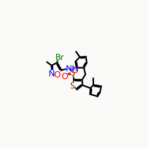 Cc1ccc(Cc2c(-c3ccccc3C)csc2S(=O)(=O)Nc2onc(C)c2Br)cc1